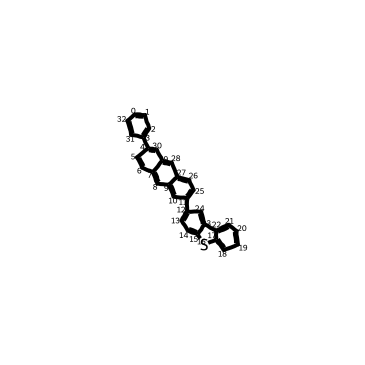 c1ccc(-c2ccc3cc4cc(-c5ccc6sc7ccccc7c6c5)ccc4cc3c2)cc1